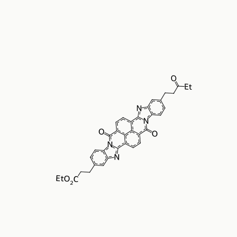 CCOC(=O)CCc1ccc2c(c1)nc1c3ccc4c(=O)n5c6ccc(CCC(=O)CC)cc6nc5c5ccc(c(=O)n21)c3c45